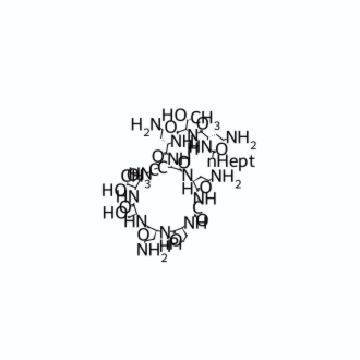 CCCCCCCC(=O)N[C@@H](CCN)C(=O)N[C@H](C(=O)N[C@@H](CCN)C(=O)N[C@H]1CCNC(=O)[C@H]([C@@H](C)O)NC(=O)[C@H](CO)NC(=O)[C@H](CCN)NC(=O)[C@H](CC(C)C)NC(=O)CNC(=O)[C@H](CCN)NC1=O)[C@@H](C)O